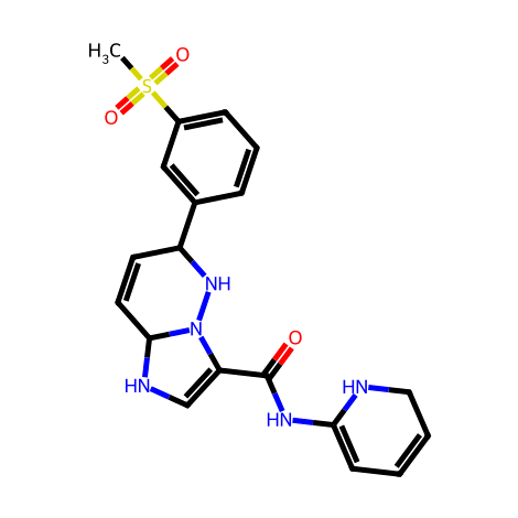 CS(=O)(=O)c1cccc(C2C=CC3NC=C(C(=O)NC4=CC=CCN4)N3N2)c1